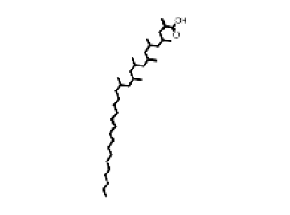 CCCCCCCCCCCCCCCCC(C)CC(C)CC(C)CC(C)CC(C)CC(C)CC(C)C(=O)O